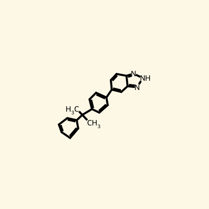 CC(C)(c1ccccc1)c1ccc(-c2ccc3n[nH]nc3c2)cc1